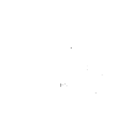 Cc1cnc2c(c1C)NCC(F)(F)O2